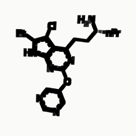 CCC[C@@H](N)CCc1nc(Oc2cncnc2)nc2[nH]c(CC)c(Cl)c12